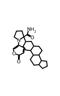 NC(=O)C1(C2CCC3C(CCC4C5CCCC5CCC34)C2)CCCN1c1ccc(=O)oc1